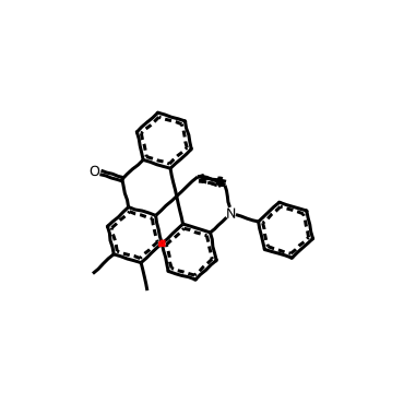 Cc1cc2c(cc1C)C1(c3ccccc3C2=O)c2ccccc2N(c2ccccc2)c2ccccc21